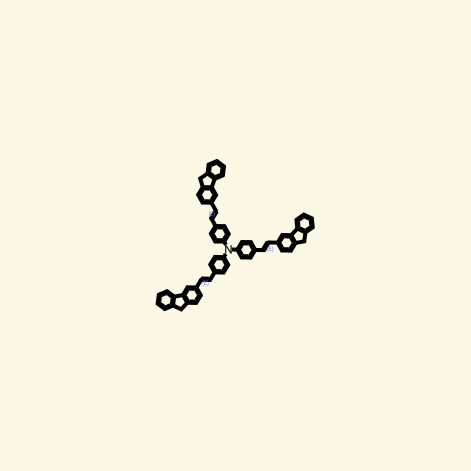 C(=C\c1ccc2c(c1)-c1ccccc1C2)/c1ccc(N(c2ccc(/C=C/c3ccc4c(c3)-c3ccccc3C4)cc2)c2ccc(/C=C/c3ccc4c(c3)-c3ccccc3C4)cc2)cc1